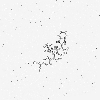 NC(=O)c1ccc(-c2ccc3[nH]c(=O)c(-c4nc5ccccc5[nH]4)c(N[C@H]4CN5CCC4CC5)c3c2)cc1